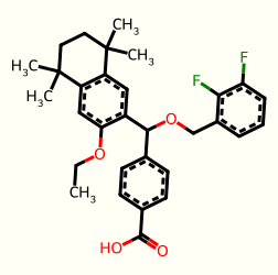 CCOc1cc2c(cc1C(OCc1cccc(F)c1F)c1ccc(C(=O)O)cc1)C(C)(C)CCC2(C)C